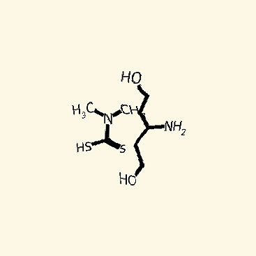 CN(C)C(=S)S.NC(CCO)CCO